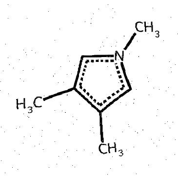 Cc1cn(C)cc1C